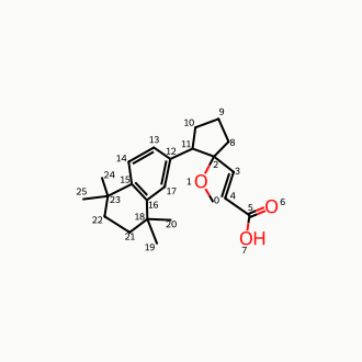 COC1(C=CC(=O)O)CCCC1c1ccc2c(c1)C(C)(C)CCC2(C)C